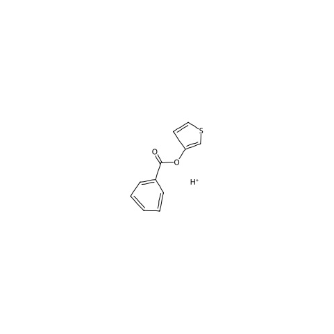 O=C(Oc1ccsc1)c1ccccc1.[H+]